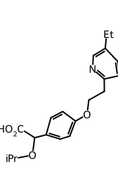 CCc1ccc(CCOc2ccc(C(OC(C)C)C(=O)O)cc2)nc1